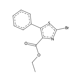 CCOC(=O)c1nc(Br)sc1-c1ccccc1